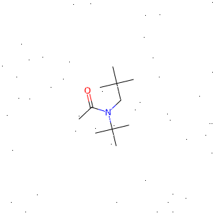 CC(=O)N(CC(C)(C)C)C(C)(C)C